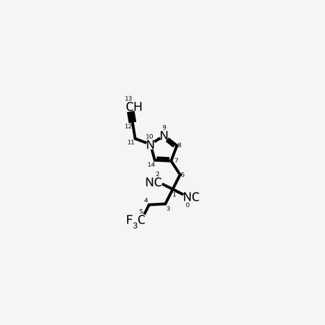 [C-]#[N+]C(C#N)(CCC(F)(F)F)Cc1cnn(CC#C)c1